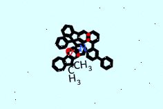 CC1(C)C2=C(C=CC=CC2)c2ccc(N(c3ccc(-c4ccccc4)cc3-c3ccccc3)c3cccc4c3C3(c5ccccc5Oc5ccccc53)c3ccccc3-4)cc21